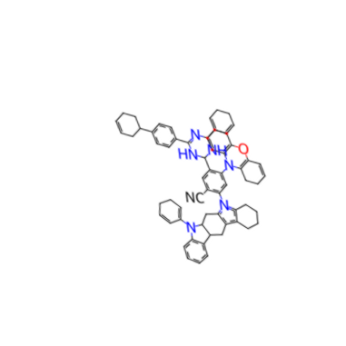 N#Cc1cc(C2NC(c3ccc(C4CC=CCC4)cc3)=NC(C3=CCCC=C3)N2)c(N2C3=C(CCC=C3)OC3=C2CCC=C3)cc1-n1c2c(c3c1CC1C(C3)c3ccccc3N1C1=CCCC=C1)CCCC2